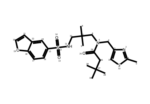 Cc1nc(CN(CC(C)(C)CNS(=O)(=O)c2ccc3occc3c2)C(=O)CC(C)(C)C)cs1